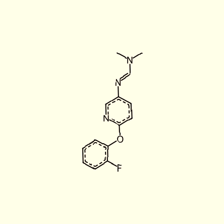 CN(C)/C=N/c1ccc(Oc2ccccc2F)nc1